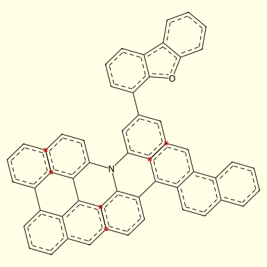 c1ccc(-c2cccc3cccc(-c4ccccc4N(c4cccc(-c5cccc6c5oc5ccccc56)c4)c4ccccc4-c4cccc5c4ccc4ccccc45)c23)cc1